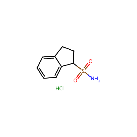 Cl.NS(=O)(=O)C1CCc2ccccc21